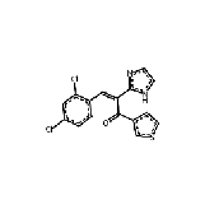 O=C(C(=Cc1ccc(Cl)cc1Cl)c1ncc[nH]1)c1ccsc1